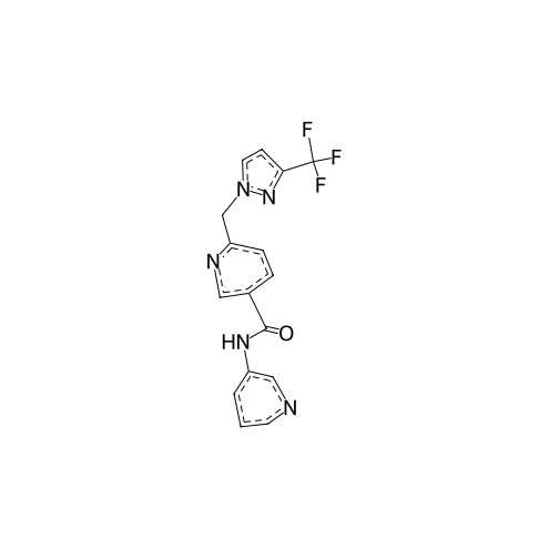 O=C(Nc1cccnc1)c1ccc(Cn2ccc(C(F)(F)F)n2)nc1